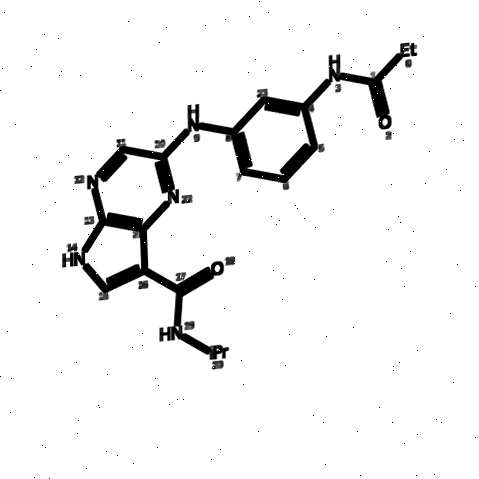 CCC(=O)Nc1cccc(Nc2cnc3[nH]cc(C(=O)NC(C)C)c3n2)c1